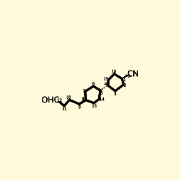 N#C[C@H]1CC[C@H](C2CCC(CCCC=O)CC2)CC1